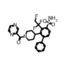 NS(=O)(=O)c1ccc(-c2ccccc2)c(C2CCN(C(=O)c3cnccn3)CC2)c1C(F)(F)CF